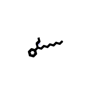 [CH2]/C=C/C(CCCCCCCC)c1ccccc1